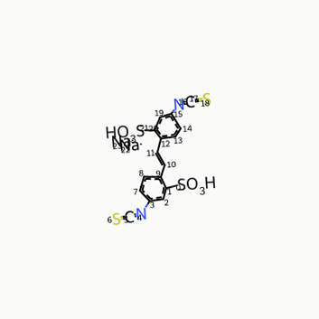 O=S(=O)(O)c1cc(N=C=S)ccc1C=Cc1ccc(N=C=S)cc1S(=O)(=O)O.[Na].[Na]